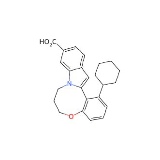 O=C(O)c1ccc2cc3n(c2c1)CCCOc1cccc(C2CCCCC2)c1-3